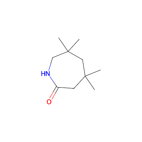 CC1(C)CNC(=O)CC(C)(C)C1